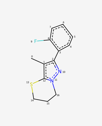 Cc1c(-c2ccccc2F)nn2c1SCCC2